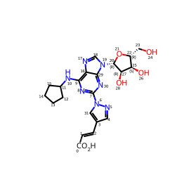 O=C(O)C=Cc1cnn(-c2nc(NC3CCCC3)c3ncn([C@@H]4O[C@H](CO)[C@@H](O)[C@H]4O)c3n2)c1